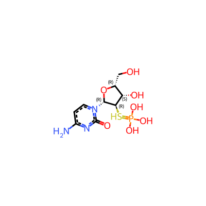 Nc1ccn([C@@H]2O[C@H](CO)[C@H](O)[C@H]2[SH]=P(O)(O)O)c(=O)n1